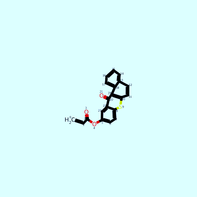 C=CC(=O)Oc1ccc2sc3ccc4ccccc4c3c(=O)c2c1